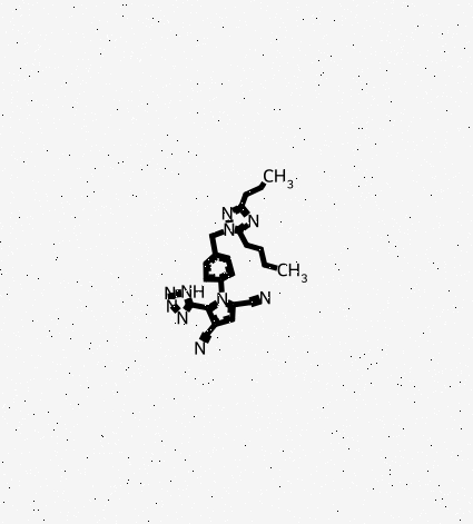 CCCCc1nc(CCC)nn1Cc1ccc(-n2c(C#N)cc(C#N)c2-c2nnn[nH]2)cc1